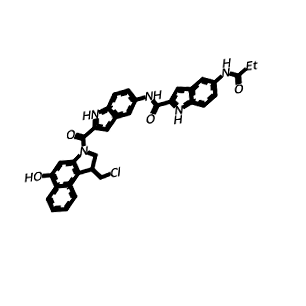 CCC(=O)Nc1ccc2[nH]c(C(=O)Nc3ccc4[nH]c(C(=O)N5CC(CCl)c6c5cc(O)c5ccccc65)cc4c3)cc2c1